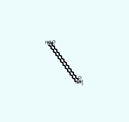 NCCCCCCCCCCCCCCCCCCCCCCCN.O=C(O)CCCCCCCCCCCCCCCCCCCCCC(=O)O